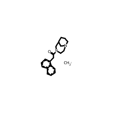 O=C(Cc1cccc2ccccc12)N1CCN2CCCC(C2)C1.[CH2]